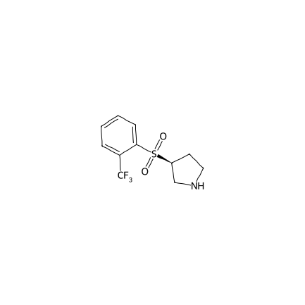 O=S(=O)(c1ccccc1C(F)(F)F)[C@H]1CCNC1